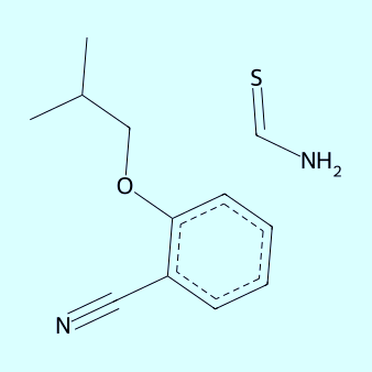 CC(C)COc1ccccc1C#N.NC=S